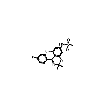 CC1(C)N=C(c2ccc(F)cc2)c2c(Cl)cc(NS(C)(=O)=O)cc2O1